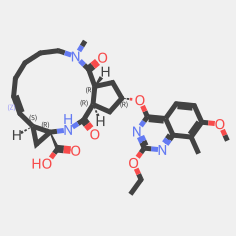 CCOc1nc(O[C@@H]2C[C@H]3C(=O)N[C@]4(C(=O)O)C[C@H]4/C=C\CCCCN(C)C(=O)[C@@H]3C2)c2ccc(OC)c(C)c2n1